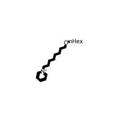 CCCCCCOCCCCCCCC[n+]1ccccc1